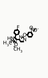 CCON1C(c2ccnc(Oc3cccc([N+](=O)[O-])c3)n2)=C(c2ccc(F)cc2)NN1C